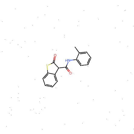 Cc1ccccc1NC(=O)C1C(=O)Sc2ccccc21